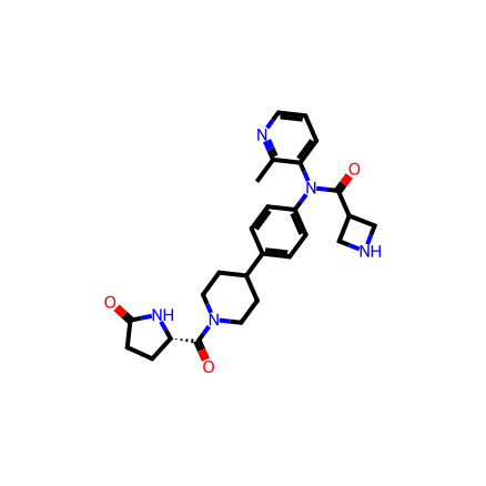 Cc1ncccc1N(C(=O)C1CNC1)c1ccc(C2CCN(C(=O)[C@@H]3CCC(=O)N3)CC2)cc1